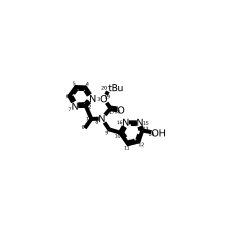 CC(c1ncccn1)N(Cc1ccc(O)nn1)C(=O)OC(C)(C)C